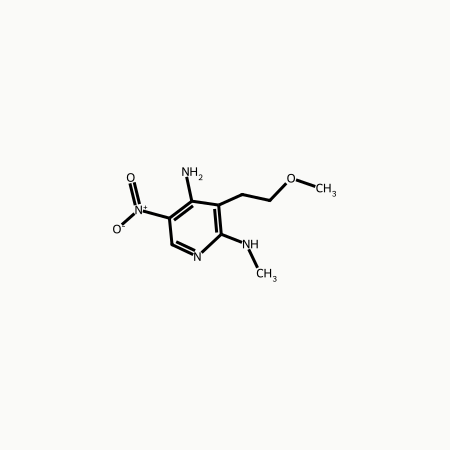 CNc1ncc([N+](=O)[O-])c(N)c1CCOC